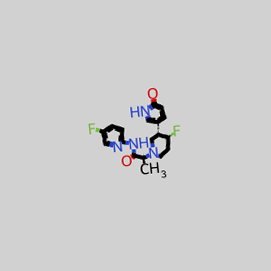 C[C@@H](C(=O)Nc1ccc(F)cn1)N1CC[C@H](F)[C@@H](c2ccc(=O)[nH]c2)C1